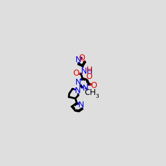 Cn1c(N2CCCC(c3ccccn3)C2)nc(C(=O)Nc2cnoc2)c(O)c1=O